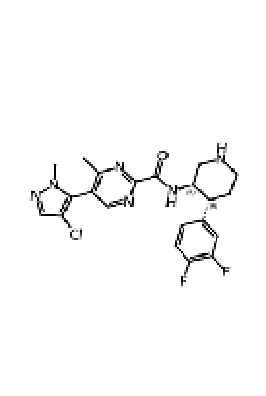 Cc1nc(C(=O)N[C@H]2CNCC[C@@H]2c2ccc(F)c(F)c2)ncc1-c1c(Cl)cnn1C